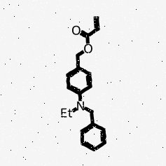 C=CC(=O)OCc1ccc(N(CC)Cc2ccccc2)cc1